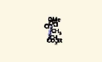 CCOC(=O)/C=C(C)/C=C/C=C(C)/C=C/c1c(Cl)cc(OC)cc1Cl